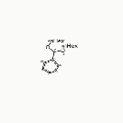 CCCCCCO[C](OCCCCCC)c1ccccc1